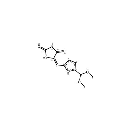 COC(OC)c1ccc(/C=C2/SC(=O)NC2=O)o1